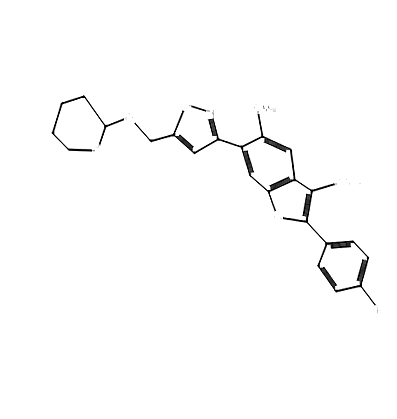 COc1cc2c(C(=O)O)c(-c3ccc(F)cc3)oc2cc1-c1cc(COC2CCCCO2)on1